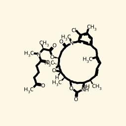 CC(=O)CCCC(=O)N(C)[C@@H](C)C(=O)O[C@H]1CC(=O)N(C)c2cc(cc(C)c2Cl)C/C(C)=C/C=C/[C@@H](C)[C@@]2(O)CC(OC(=O)N2)[C@@H](C)[C@@H]2O[C@@]12C